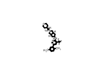 [2H]C([2H])(C1CCOCC1)N1C[C@H]2CC(Nc3nnc(-c4cc(C)ccc4C)cc3C(F)(F)F)C[C@H]2C1